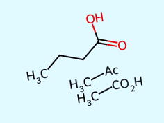 CC(=O)O.CC(C)=O.CCCC(=O)O